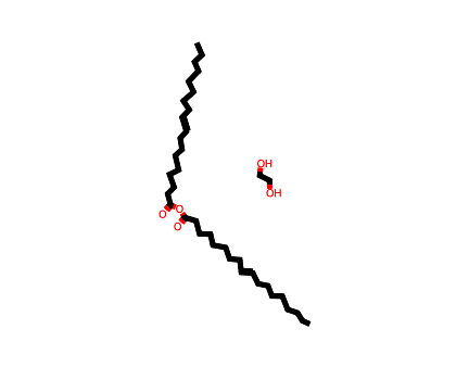 CCCCCCCCC=CCCCCCCCC(=O)OC(=O)CCCCCCCC=CCCCCCCCC.OCCO